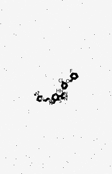 CN(C)C1CCN(CCn2ncc3c2CCc2c-3sc3ncnc(Nc4ccc(OCc5cccc(F)c5)c(Cl)c4)c23)C1